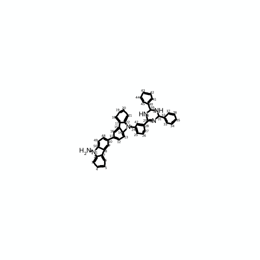 Nn1c2ccccc2c2cc(-c3ccc4c(c3)c3ccccc3n4-c3cccc(C4=NC(c5ccccc5)NC(c5ccccc5)N4)c3)ccc21